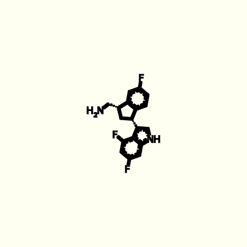 NC[C@H]1C[C@@H](c2c[nH]c3cc(F)cc(F)c23)c2ccc(F)cc21